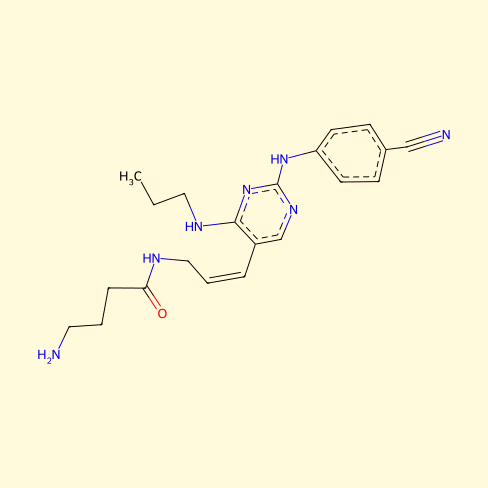 CCCNc1nc(Nc2ccc(C#N)cc2)ncc1/C=C\CNC(=O)CCCN